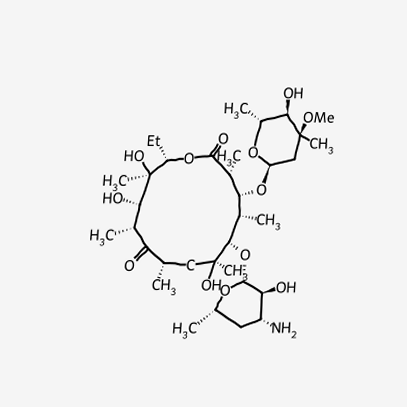 CC[C@@H]1OC(=O)[C@H](C)[C@H](O[C@@H]2C[C@](C)(OC)[C@H](O)[C@@H](C)O2)[C@H](C)[C@H](O[C@H]2O[C@@H](C)C[C@@H](N)[C@@H]2O)[C@@](C)(O)C[C@H](C)C(=O)[C@H](C)[C@H](O)[C@@]1(C)O